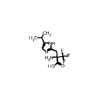 CC(C)c1cnc(CC(N)(C(=O)O)C(F)(F)F)[nH]1